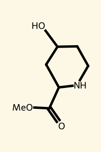 COC(=O)C1CC(O)CCN1